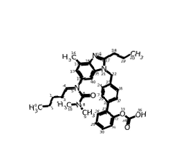 CCCCCN(C(=O)N(C)C)c1cc(C)c2nc(CCC)n(Cc3ccc(-c4ccccc4OC(=O)O)cc3)c2c1